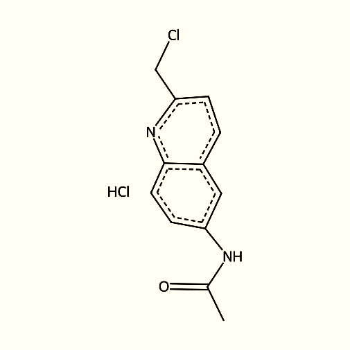 CC(=O)Nc1ccc2nc(CCl)ccc2c1.Cl